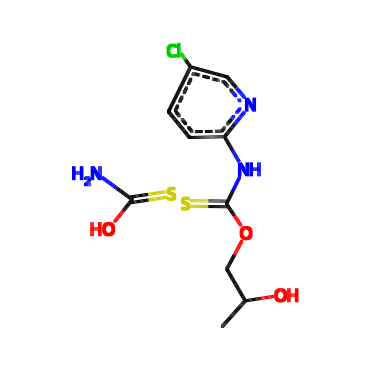 CC(O)COC(=S)Nc1ccc(Cl)cn1.NC(O)=S